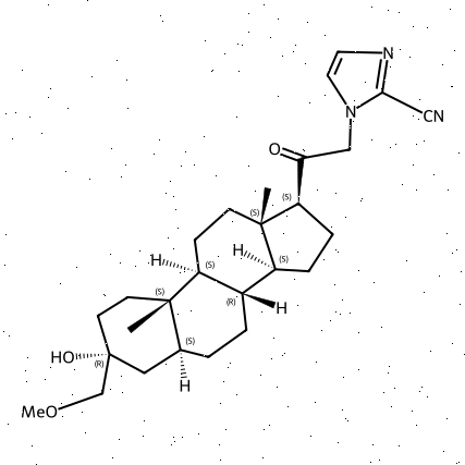 COC[C@@]1(O)CC[C@@]2(C)[C@@H](CC[C@@H]3[C@@H]2CC[C@]2(C)[C@@H](C(=O)Cn4ccnc4C#N)CC[C@@H]32)C1